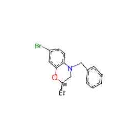 CC[C@@H]1CN(Cc2ccccc2)c2ccc(Br)cc2O1